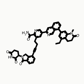 CCc1cc(-c2cccc3cc(-c4cnc(C(N)=O)c(CCC#Cc5cccc6c5CN(C5CCC(=O)NC5=O)C6=O)c4)ncc23)cc2c1CCC(=O)N2C